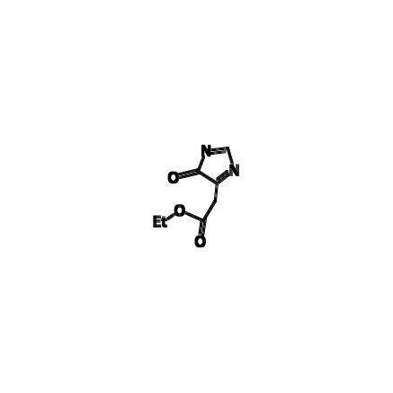 CCOC(=O)CC1=NC=NC1=O